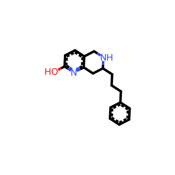 Oc1ccc2c(n1)CC(CCCc1ccccc1)NC2